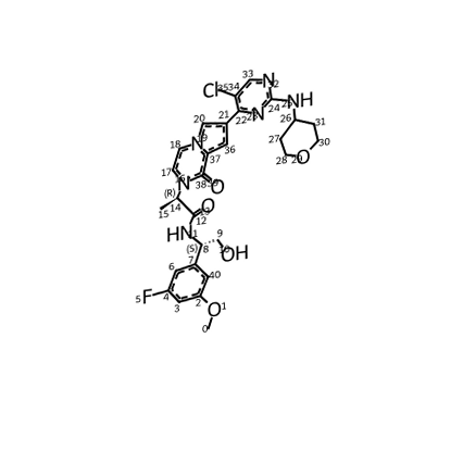 COc1cc(F)cc([C@@H](CO)NC(=O)[C@@H](C)n2ccn3cc(-c4nc(NC5CCOCC5)ncc4Cl)cc3c2=O)c1